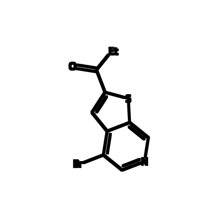 CCC(=O)c1cc2c(Br)cncc2s1